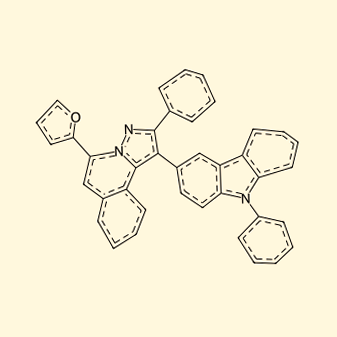 c1ccc(-c2nn3c(-c4ccco4)cc4ccccc4c3c2-c2ccc3c(c2)c2ccccc2n3-c2ccccc2)cc1